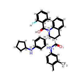 Cc1ccc(NC(=O)[C@H]2Cc3ccccc3N(C(=O)c3c(C)cccc3F)[C@H]2c2ccc(NC3CCCC3)cc2)cc1C(F)(F)F